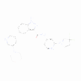 O=C(Nc1ccnc([N+]2=CC(F)(F)C=C2)c1)c1n[nH]c2ccc(-c3cncc(N4CCOCC4)c3)cc12